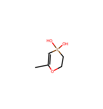 CC1=[C]S(O)(O)CCO1